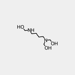 OCNCCCCN(CO)CO